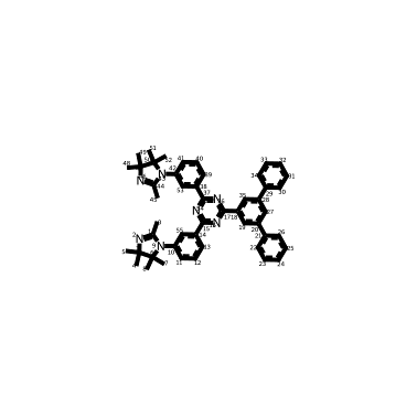 CC1=NC(C)(C)C(C)(C)N1c1cccc(-c2nc(-c3cc(-c4ccccc4)cc(-c4ccccc4)c3)nc(-c3cccc(N4C(C)=NC(C)(C)C4(C)C)c3)n2)c1